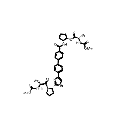 COC(=O)N[C@H](C(=O)O[C@@H]1CCC[C@H]1NC(=O)c1ccc(-c2ccc(-c3c[nH]c([C@@H]4CCCN4C(=O)[C@@H](NC(=O)OC)C(C)C)n3)cc2)cc1)C(C)C